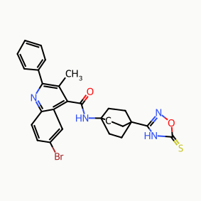 Cc1c(-c2ccccc2)nc2ccc(Br)cc2c1C(=O)NC12CCC(c3noc(=S)[nH]3)(CC1)CC2